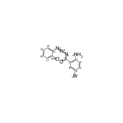 Nc1ccc(Br)cc1C(=O)N=[N+]=Nc1ccccc1Cl